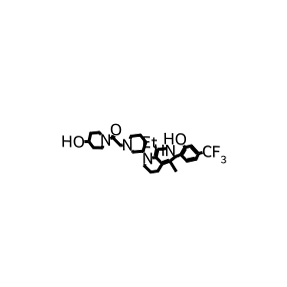 CC/C(C)=C1/C(=C(/C)C(=N)c2ccc(C(F)(F)F)cc2O)CCCN1C1CCCN(CC(=O)N2CCC(O)CC2)C1